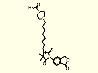 CC1(C)C(=O)N(c2ccc3c(c2)COC3=O)C(=S)N1CCCCCCCCN1CCN(C(=O)S)CC1